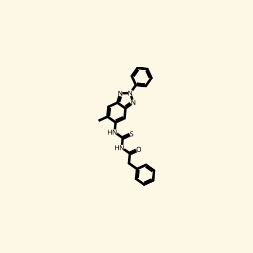 Cc1cc2nn(-c3ccccc3)nc2cc1NC(=S)NC(=O)Cc1ccccc1